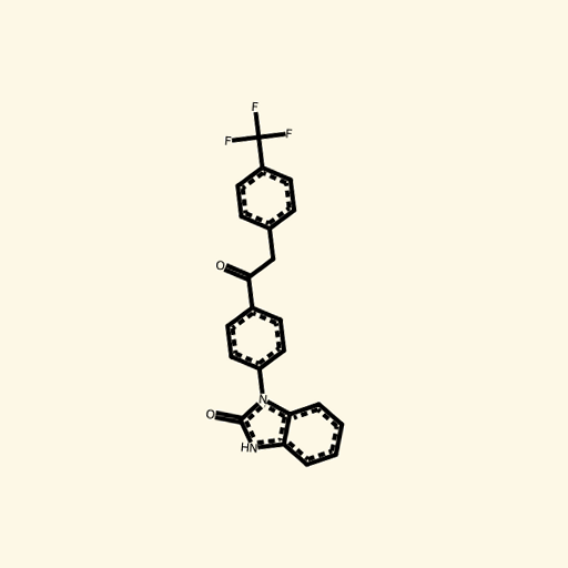 O=C(Cc1ccc(C(F)(F)F)cc1)c1ccc(-n2c(=O)[nH]c3ccccc32)cc1